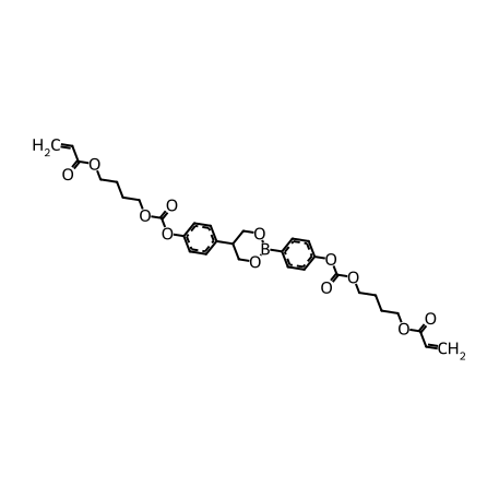 C=CC(=O)OCCCCOC(=O)Oc1ccc(B2OCC(c3ccc(OC(=O)OCCCCOC(=O)C=C)cc3)CO2)cc1